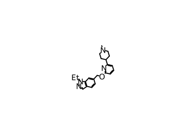 CCn1ncc2ccc(COc3cccc(C4CCN(C)CC4)n3)cc21